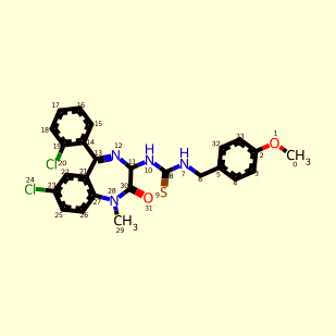 COc1ccc(CNC(=S)NC2N=C(c3ccccc3Cl)c3cc(Cl)ccc3N(C)C2=O)cc1